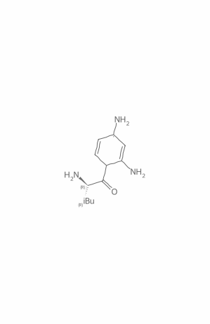 CC[C@@H](C)[C@@H](N)C(=O)C1C=C[C](N)C=C1N